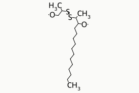 CCCCCCCCCCCCC([O])C(C)SSC(C)C[O]